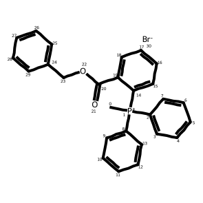 C[P+](c1ccccc1)(c1ccccc1)c1ccccc1C(=O)OCc1ccccc1.[Br-]